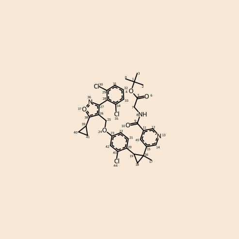 CC(C)(C)OC(=O)CNC(=O)c1cncc(C2(C)CC2c2ccc(OCc3c(-c4c(Cl)cccc4Cl)noc3C3CC3)cc2Cl)c1